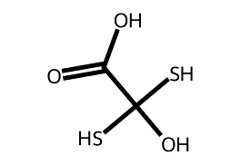 O=C(O)C(O)(S)S